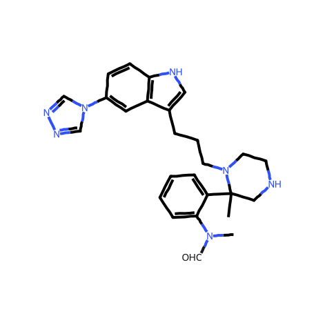 CN(C=O)c1ccccc1C1(C)CNCCN1CCCc1c[nH]c2ccc(-n3cnnc3)cc12